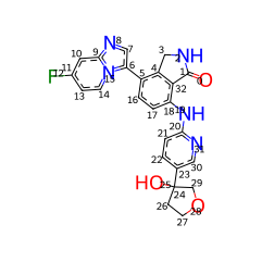 O=C1NCc2c(-c3cnc4cc(F)ccn34)ccc(Nc3ccc(C4(O)CCOC4)cn3)c21